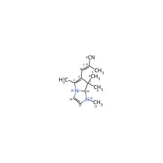 CC1=C(/C=C(\C)C#N)C(C)(C)C2N(C)C=CN12